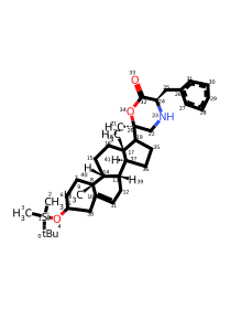 CC(C)(C)[Si](C)(C)OC1CC[C@@]2(C)C(=CC[C@@H]3[C@H]2CC[C@]2(C)C([C@]4(C)CN[C@H](Cc5ccccc5)C(=O)O4)CC[C@@H]32)C1